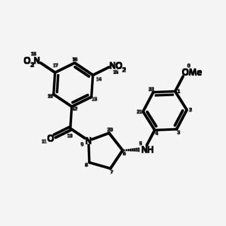 COc1ccc(N[C@@H]2CCN(C(=O)c3cc([N+](=O)[O-])cc([N+](=O)[O-])c3)C2)cc1